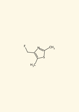 Cc1nc(CF)c(C)s1